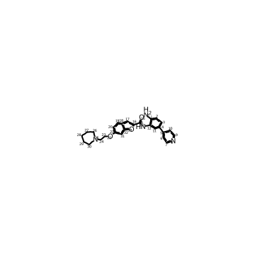 Nc1ccc(-c2ccncc2)cc1NC(=O)c1cc2ccc(OCCN3CCCCC3)cc2o1